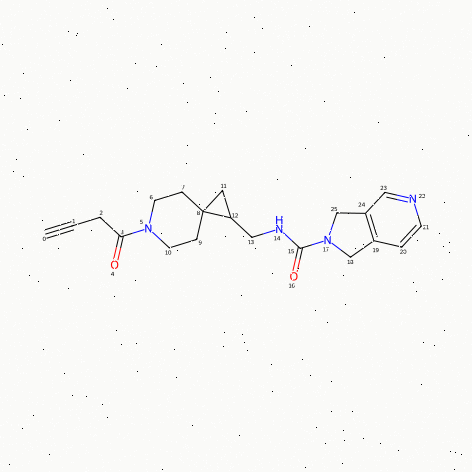 C#CCC(=O)N1CCC2(CC1)CC2CNC(=O)N1Cc2ccncc2C1